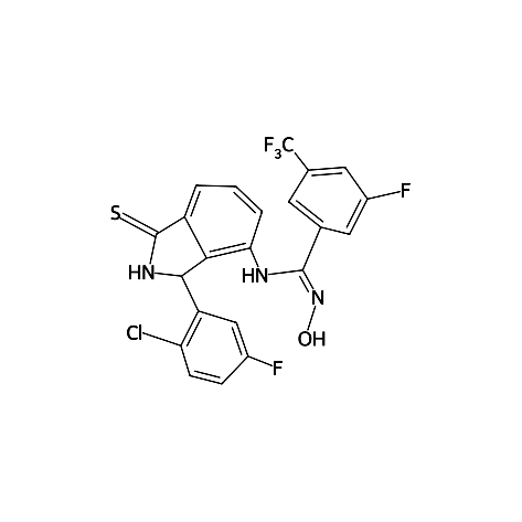 O/N=C(\Nc1cccc2c1C(c1cc(F)ccc1Cl)NC2=S)c1cc(F)cc(C(F)(F)F)c1